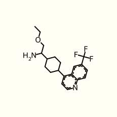 CCOCC(N)C1CCC(c2ccnc3ccc(C(F)(F)F)cc23)CC1